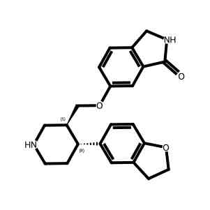 O=C1NCc2ccc(OC[C@@H]3CNCC[C@H]3c3ccc4c(c3)CCO4)cc21